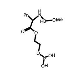 COBNC(C(=O)OCCON(O)O)C(C)C